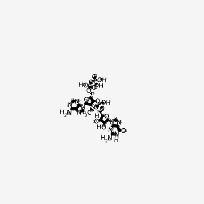 CO[C@H]1C(OP(=O)(O)OC[C@H]2O[C@@H](n3cnc4c(=O)[nH]c(N)nc43)[C@@H](O)C2O)[C@@H](COP(=O)(O)OP(=O)(O)O)O[C@H]1n1cnc2c(N)ncnc21